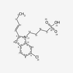 CCC=Cc1oc2ccc(Cl)cc2[n+]1CCCCS(=O)(=O)O